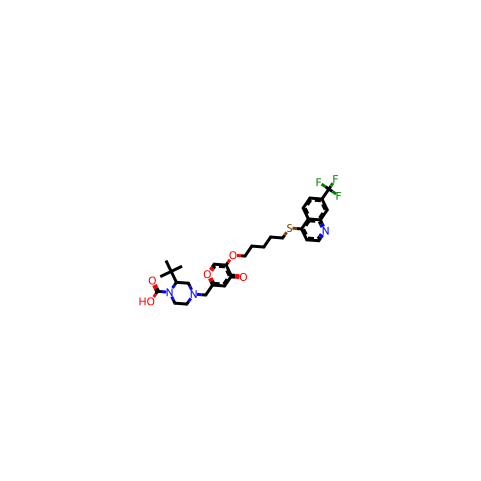 CC(C)(C)C1CN(Cc2cc(=O)c(OCCCCCSc3ccnc4cc(C(F)(F)F)ccc34)co2)CCN1C(=O)O